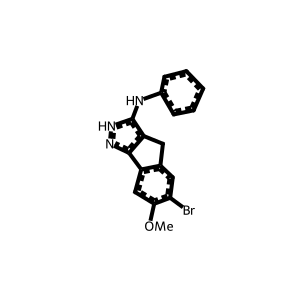 COc1cc2c(cc1Br)Cc1c-2n[nH]c1Nc1ccccc1